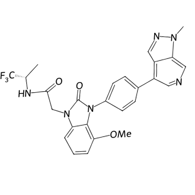 COc1cccc2c1n(-c1ccc(-c3cncc4c3cnn4C)cc1)c(=O)n2CC(=O)N[C@@H](C)C(F)(F)F